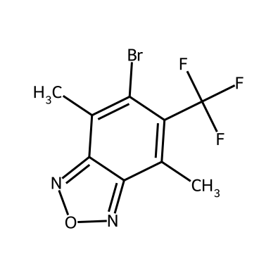 Cc1c(Br)c(C(F)(F)F)c(C)c2nonc12